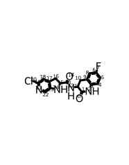 O=C1Nc2ccc(F)cc2CC1NC(=O)C1Cc2cc(Cl)ncc2N1